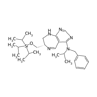 CC(C)N(Cc1ccccc1)c1ncnc2c1C=N[C@H](CO[Si](C(C)C)(C(C)C)C(C)C)CN2